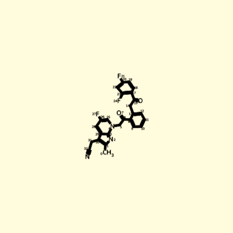 Cc1nc2n(CC(=O)c3ccccc3CC(=O)c3ccc(F)cc3F)cc(F)cc-2c1CC#N